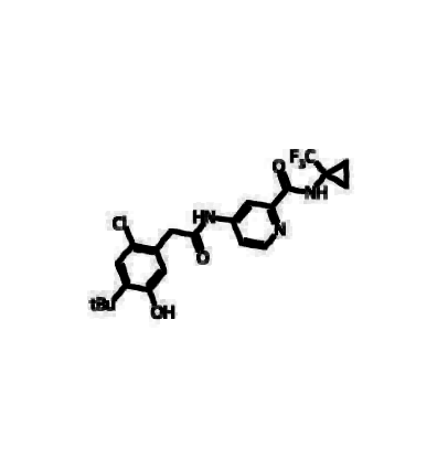 CC(C)(C)c1cc(Cl)c(CC(=O)Nc2ccnc(C(=O)NC3(C(F)(F)F)CC3)c2)cc1O